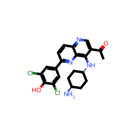 CC(=O)c1cnc2ccc(-c3cc(Cl)c(O)c(Cl)c3)nc2c1N[C@H]1CC[C@H](N)CC1